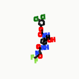 O=C(COc1ccc(Cl)c(Cl)c1)NC12CCC(NC(=O)c3coc(C(F)F)n3)(CC1)C[C@@H]2O